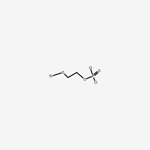 CCOCCOP(=O)(Cl)Cl